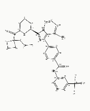 COCC1(C(=O)N2CCC[C@@H](c3nc(-c4ccc(C(=O)Nc5cncc(C(F)(F)F)c5)cc4)c4c(N)nccn34)C2)CCC1